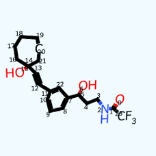 O=C(NCCC(O)c1cccc(C#CC2(O)CCCCCC2)c1)C(F)(F)F